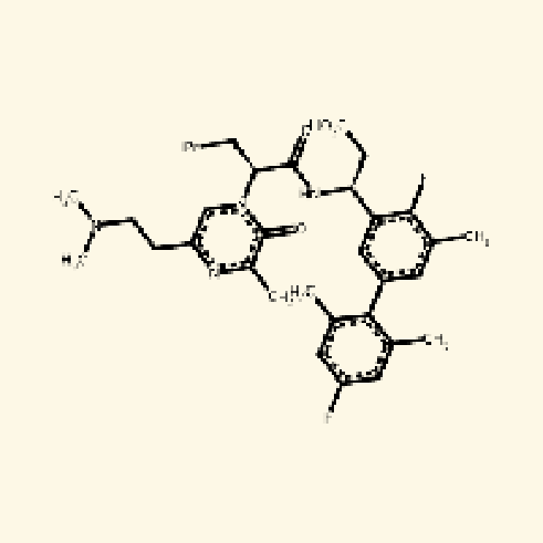 Cc1cc(-c2c(C)cc(F)cc2C)cc([C@H](CC(=O)O)NC(=O)[C@H](CC(C)C)n2cc(CCN(C)C)nc(C)c2=O)c1F